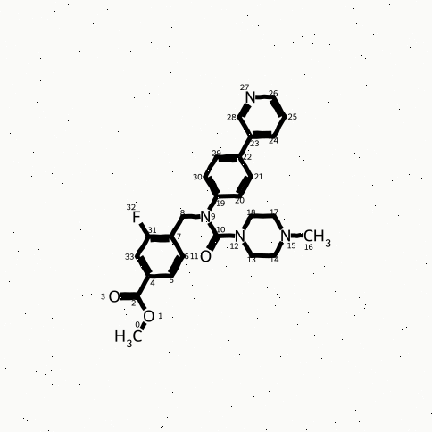 COC(=O)c1ccc(CN(C(=O)N2CCN(C)CC2)c2ccc(-c3cccnc3)cc2)c(F)c1